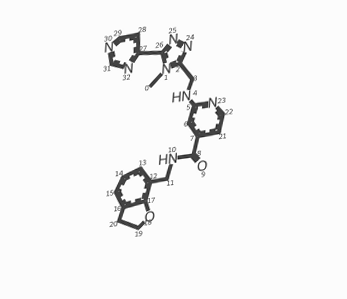 Cn1c(CNc2cc(C(=O)NCc3cccc4c3OCC4)ccn2)nnc1-c1ccncn1